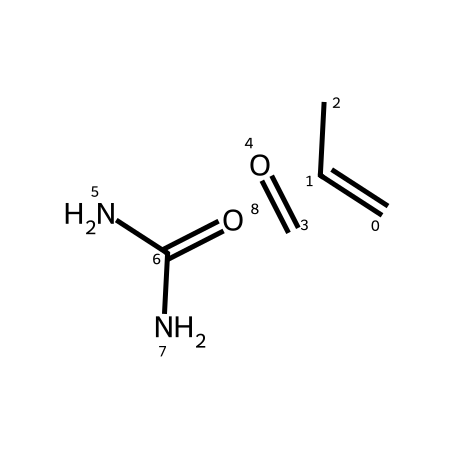 C=CC.C=O.NC(N)=O